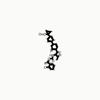 Cc1nsc(-c2ccc(-c3ccc(C4(C=O)CC4)cc3)cc2F)c1NC(=O)O[C@H](C)c1ccccc1Cl